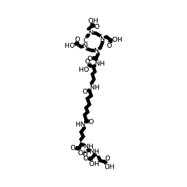 O=C(O)CC[C@H](NC(=O)N[C@@H](CCCCNC(=O)CCCCCCC(=O)NCCCCC(NC(=O)CN1CCN(CC(=O)O)CCN(CC(=O)O)CCN(CC(=O)O)CC1)C(=O)O)C(=O)O)C(=O)O